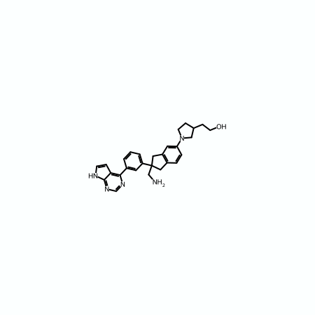 NCC1(c2cccc(-c3ncnc4[nH]ccc34)c2)Cc2ccc(N3CCC(CCO)C3)cc2C1